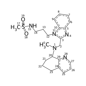 CN(Cc1nc2ccccc2n1CCCNS(C)(=O)=O)C1CCCc2cccnc21